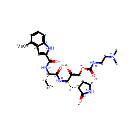 COc1cccc2[nH]c(C(=O)N[C@@H](CC(C)C)C(=O)N[C@@H](C[C@@H]3CCNC3=O)C(=O)COC(=O)NCCN(C)C)cc12